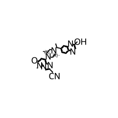 CC(c1ccc2ncc(O)nc2c1)N1C[C@H](C)N(c2cc(=O)n(C)n3cc(CC#N)nc23)C[C@H]1C